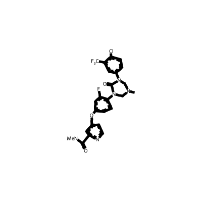 CNC(=O)c1cc(Oc2ccc(N3CN(C)CN(c4ccc(Cl)c(C(F)(F)F)c4)C3=O)c(F)c2)ccn1